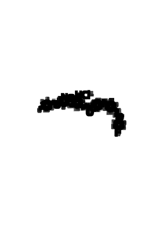 Cc1ccc(COc2ccc(Oc3c(C)cc(/C=C/C(=O)N4CCN(Cc5ccc(CCOc6ccc(F)cc6)cc5)CC4)cc3C)nc2)cc1.Cl